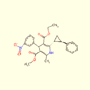 CCOC(=O)C1=C([C@@H]2C[C@H]2c2ccccc2)NC(C)=C(C(=O)OC)C1c1cccc([N+](=O)[O-])c1